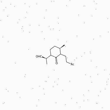 CC(=O)CCC1C(=O)C([C@@H](C)C=O)CC[C@H]1C